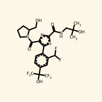 CC(C)(O)CNC(=O)c1nc(C(=O)N2CCCC2CO)c(-c2ccc(C(O)(C(F)(F)F)C(F)(F)F)cc2C(F)F)s1